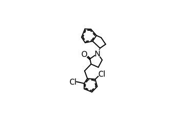 O=C1C(Cc2c(Cl)cccc2Cl)CCN1[C@H]1CCc2ccccc21